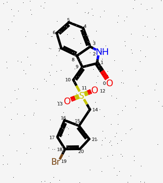 O=C1Nc2ccccc2C1=CS(=O)(=O)Cc1ccc(Br)cc1